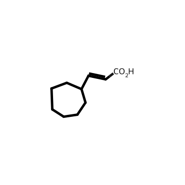 O=C(O)C=CC1CCCCCC1